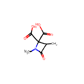 CC1C(=O)N(C)C1(C(=O)O)C(=O)O